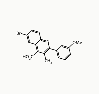 COc1cccc(-c2nc3ccc(Br)cc3c(C(=O)O)c2C)c1